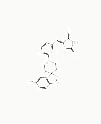 O=C1NC(=O)C(=Cc2ccnc(N3CCC4(CC3)CNc3ccc(Cl)cc34)n2)S1